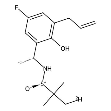 [2H]CC(C)(C)[S@@+]([O-])N[C@H](C)c1cc(F)cc(CC=C)c1O